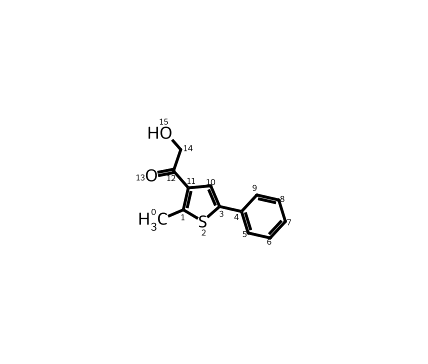 Cc1sc(-c2ccccc2)cc1C(=O)CO